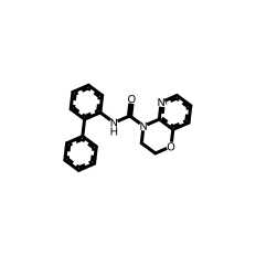 O=C(Nc1ccccc1-c1ccccc1)N1CCOc2cccnc21